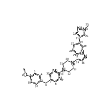 COc1ccc(Cc2cnc(N3CCN(c4cnn5cc(-c6cnn(C)c6)ccc45)CC3)nc2)cc1